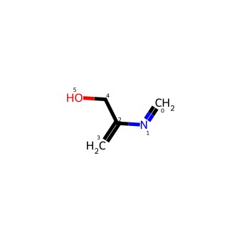 C=NC(=C)CO